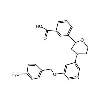 Cc1ccc(COc2cncc(N3CCOC(c4cccc(C(=O)O)c4)C3)c2)cc1